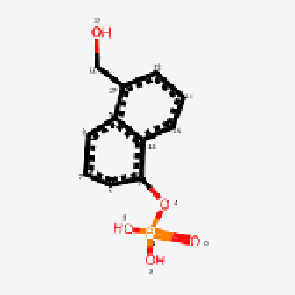 O=P(O)(O)Oc1cccc2c(CO)cccc12